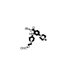 CN1CCN(c2ccc(C(=O)OC(C)(C)C)c(NC3CCN(CCOC=O)CC3)c2)CC1